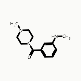 CNc1cccc(C(=O)N2CCN(C)CC2)c1